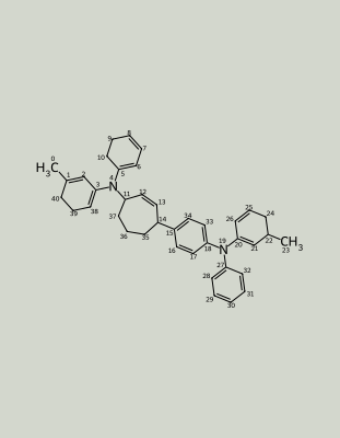 CC1=CC(N(C2=CC=CCC2)C2C=CC(c3ccc(N(C4=CC(C)CC=C4)c4ccccc4)cc3)CCC2)=CCC1